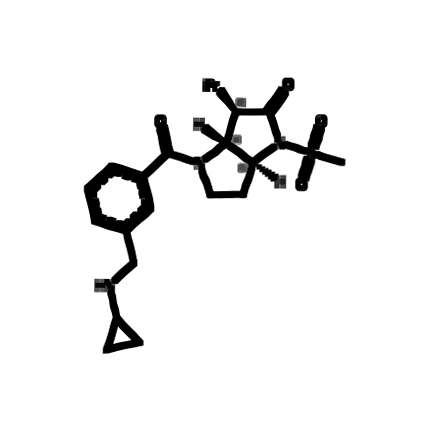 CC(C)[C@H]1C(=O)N(S(C)(=O)=O)[C@H]2CCN(C(=O)c3cccc(CNC4CC4)c3)[C@H]12